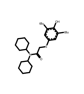 CC(C)(C)c1cc(SCC(=O)N(C2CCCCC2)C2CCCCC2)cc(C(C)(C)C)c1O